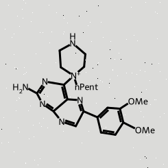 CCCCC[N+]1(c2nc(N)nc3ncc(-c4ccc(OC)c(OC)c4)nc23)CCNCC1